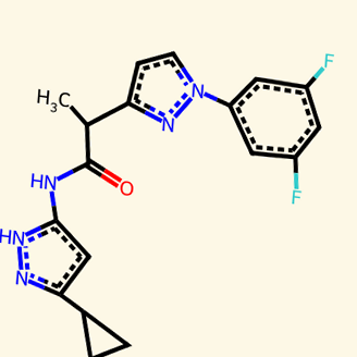 CC(C(=O)Nc1cc(C2CC2)n[nH]1)c1ccn(-c2cc(F)cc(F)c2)n1